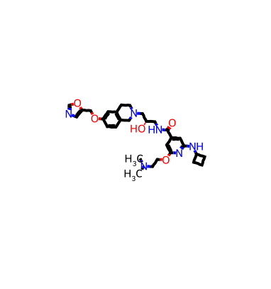 CN(C)CCOc1cc(C(=O)NC[C@H](O)CN2CCc3cc(OCc4cnco4)ccc3C2)cc(NC2CCC2)n1